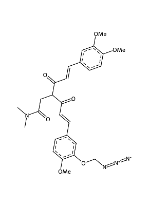 COc1ccc(/C=C/C(=O)C(CC(=O)N(C)C)C(=O)/C=C/c2ccc(OC)c(OCN=[N+]=[N-])c2)cc1OC